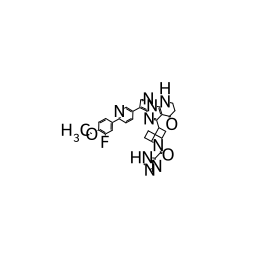 COc1ccc(-c2ccc(-c3cnn4c5c(c(C6CC7N(C(=O)c8nnc[nH]8)C8CCC687)nc34)C(=O)CCN5)cn2)cc1F